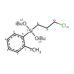 Cc1ccccc1[Si](CCCCl)(OCC(C)C)OCC(C)C